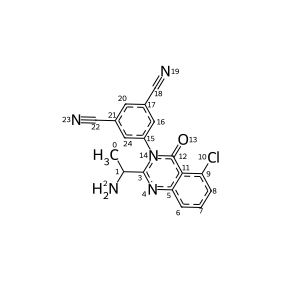 CC(N)c1nc2cccc(Cl)c2c(=O)n1-c1cc(C#N)cc(C#N)c1